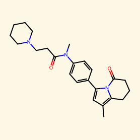 Cc1cc(-c2ccc(N(C)C(=O)CCN3CCCCC3)cc2)n2c1CCCC2=O